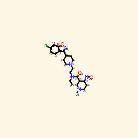 CCN(CCN1CCC(c2noc3cc(F)ccc23)CC1)C(=O)C1CN(C)CCC1N=O